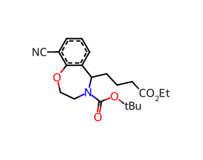 CCOC(=O)CCCC1c2cccc(C#N)c2OCCN1C(=O)OC(C)(C)C